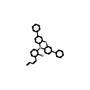 C=C/C=C\c1cccc(N2c3ccc(-c4ccccc4)cc3Sc3cc(-c4ccccc4)ccc32)c1Br